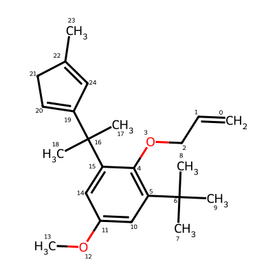 C=CCOc1c(C(C)(C)C)cc(OC)cc1C(C)(C)C1=CCC(C)=C1